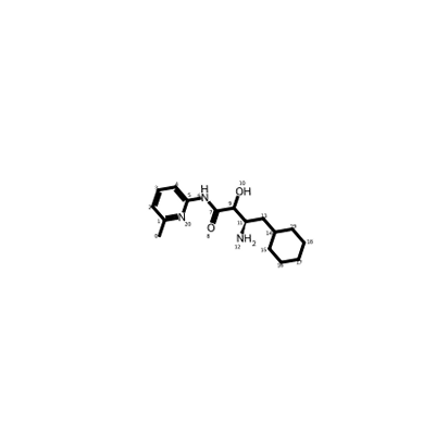 Cc1cccc(NC(=O)C(O)[C@H](N)CC2CCCCC2)n1